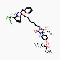 CC(C)Oc1ccc(C2(C)NC(=O)N(CCCCCCOc3c(Cc4ccccc4)cnc4c(C(F)(F)F)cccc34)C2=O)cc1